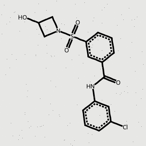 O=C(Nc1cccc(Cl)c1)c1cccc(S(=O)(=O)N2CC(O)C2)c1